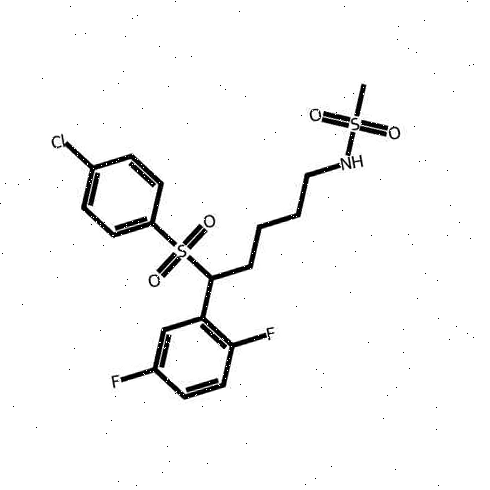 CS(=O)(=O)NCCCCC(c1cc(F)ccc1F)S(=O)(=O)c1ccc(Cl)cc1